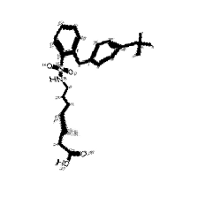 CC(C)(C)c1ccc(Cc2ccccc2S(=O)(=O)NCCCCCCC(=O)O)cc1